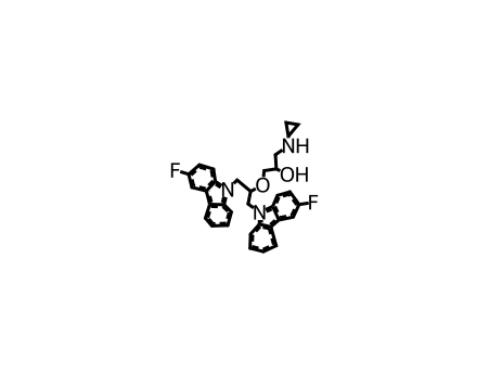 OC(CNC1CC1)COC(Cn1c2ccccc2c2cc(F)ccc21)Cn1c2ccccc2c2cc(F)ccc21